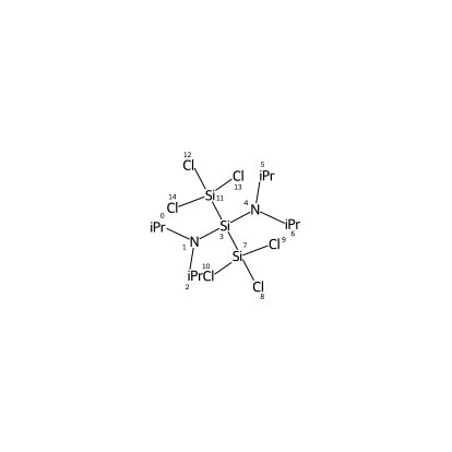 CC(C)N(C(C)C)[Si](N(C(C)C)C(C)C)([Si](Cl)(Cl)Cl)[Si](Cl)(Cl)Cl